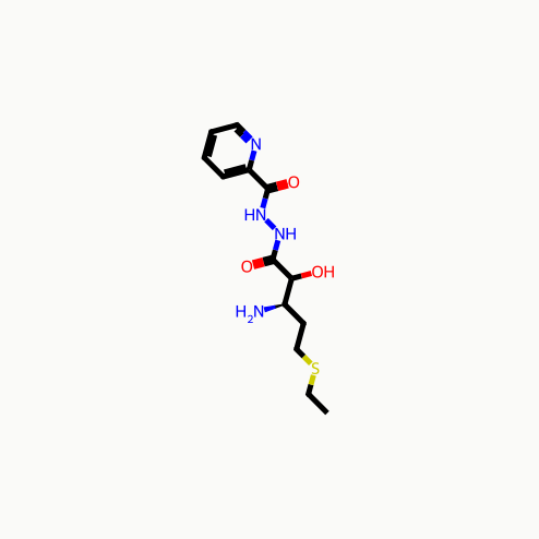 CCSCC[C@@H](N)C(O)C(=O)NNC(=O)c1ccccn1